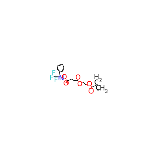 C=C(C)C(=O)OCCOC(=O)CCC(=O)O/N=C(\c1ccccc1)C(F)(F)F